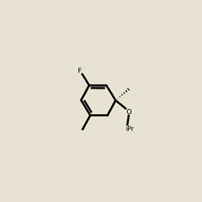 CC1=CC(F)=C[C@@](C)(OC(C)C)C1